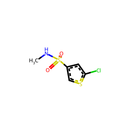 CNS(=O)(=O)c1csc(Cl)c1